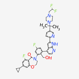 CC(C)(c1ccc(-c2cc3c(-c4cc(F)cc(N5CCOc6cc(C7CC7)cc(F)c6C5=O)c4CO)ccnc3[nH]2)nc1)N1CCN(CC(F)F)CC1